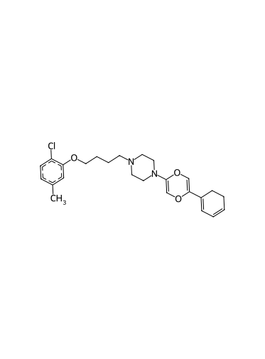 Cc1ccc(Cl)c(OCCCCN2CCN(C3=COC(C4=CC=CCC4)=CO3)CC2)c1